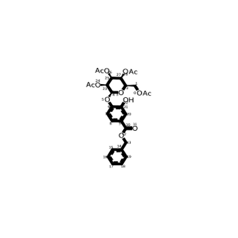 CC(=O)OC[C@H]1O[C@@H](Oc2ccc(C(=O)OCc3ccccc3)cc2O)[C@@H](OC(C)=O)[C@@H](OC(C)=O)[C@H]1OC(C)=O